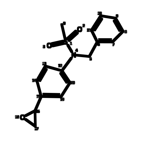 CS(=O)(=O)N(Cc1ccccc1)c1ccc(C2CO2)cc1